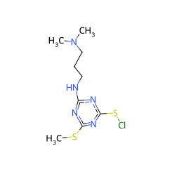 CSc1nc(NCCCN(C)C)nc(SCl)n1